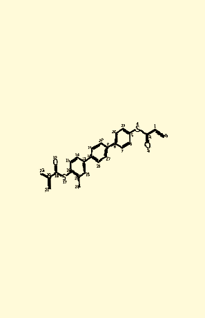 C=CC(=O)Sc1ccc(-c2ccc(-c3ccc(SC(=O)C(=C)C)c(C)c3)cc2)cc1